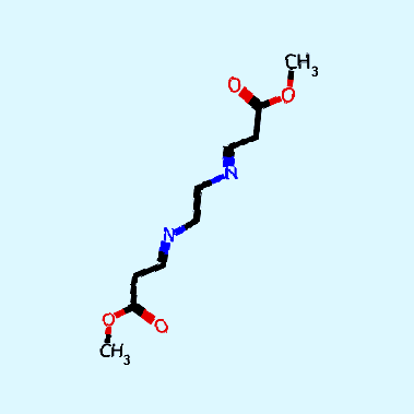 COC(=O)CC=NCCN=CCC(=O)OC